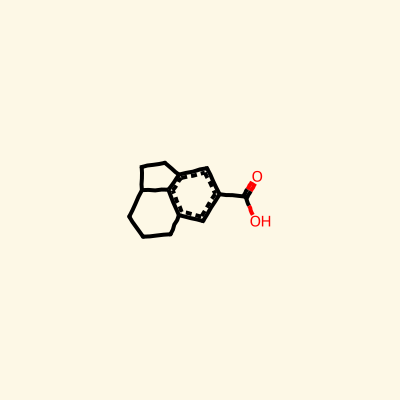 O=C(O)c1cc2c3c(c1)CCC3CCC2